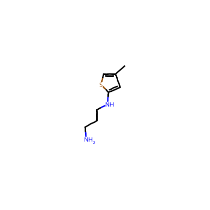 Cc1csc(NCCCN)c1